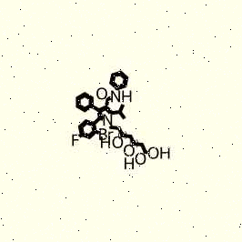 CC(C)c1c(C(=O)Nc2ccccc2)c(-c2ccccc2)c(-c2ccc(F)cc2Br)n1CC[C@@H](O)C[C@@H](O)CC(=O)O